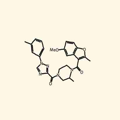 COc1ccc2oc(C)c(C(=O)N3CCN(C(=O)c4ncn(-c5cccc(C)c5)n4)CC3C)c2c1